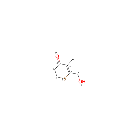 CC1=C(CO)SCCC1=O